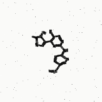 Cc1ncc(-c2nc(Nc3ccc(C(=O)O)nn3)ncc2F)n1C(C)C